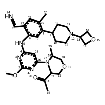 COc1nc(Nc2cc(C3CCN(C4COC4)CC3)c(C)cc2C=N)cc(N2C(C)COCC2C(C)=O)n1